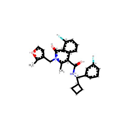 Cc1occc1Cn1c(C)c(C(=O)N[C@H](c2cccc(F)c2)C2CCC2)c2cccc(F)c2c1=O